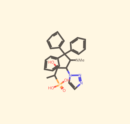 CNC(C(C(O)C(C)P(=O)(O)O)n1ccnn1)C(c1ccccc1)(c1ccccc1)c1ccccc1